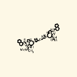 CCC(=O)N[C@H]1CC[C@H](n2cc(COCc3cn([C@H]4CC[C@H](NC(=O)[C@H](C)NC)C(=O)N5[C@H](CC[C@H]5C(=O)N[C@H]5CCCc6ccccc65)C4)nn3)nn2)C[C@H]2CC[C@@H](C(=O)N[C@@H]3CCCc4ccccc43)N2C1=O